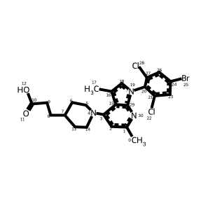 Cc1cc(N2CCC(CCC(=O)O)CC2)c2c(C)cn(-c3c(Cl)cc(Br)cc3Cl)c2n1